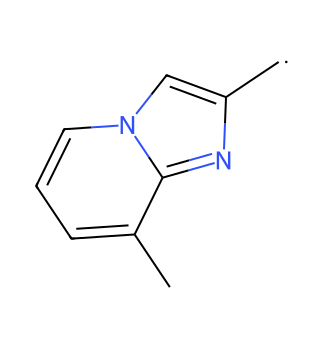 [CH2]c1cn2cccc(C)c2n1